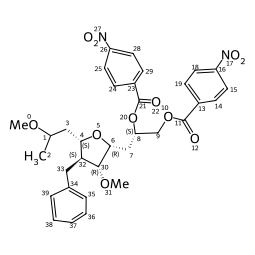 COC(C)C[C@@H]1O[C@H](C[C@@H](COC(=O)c2ccc([N+](=O)[O-])cc2)OC(=O)c2ccc([N+](=O)[O-])cc2)[C@H](OC)[C@H]1Cc1ccccc1